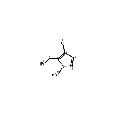 CCCCn1ncc(O)c1CC(C)C